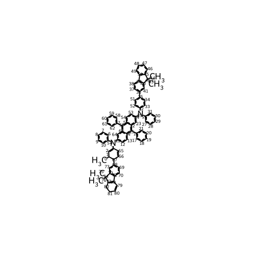 CC1C=C(N(c2ccccc2)c2ccc3c(-c4ccccc4)c4cc(N(c5ccccc5)c5ccc(-c6ccc7c(c6)C(C)(C)c6ccccc6-7)cc5)ccc4c(-c4ccccc4)c3c2)C=CC1c1ccc2c(c1)C(C)(C)C1=C2C=CCC1